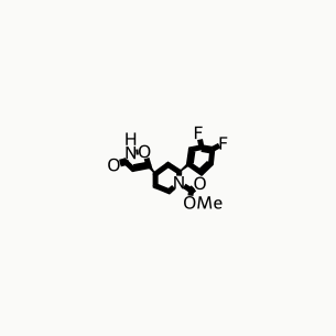 COC(=O)N1CC[C@@H](c2cc(=O)[nH]o2)C[C@H]1c1ccc(F)c(F)c1